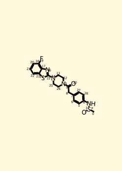 C[S+]([O-])Nc1ccc(CC(=O)N2CCN(c3nc4c(F)cccc4s3)CC2)cc1